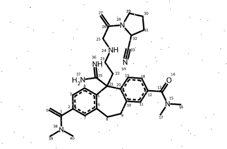 C=C(c1ccc2c(c1)CCc1cc(C(=O)N(C)C)ccc1C2(CCNCC(=C)N1CCCC1C#N)C(=N)N)N(C)C